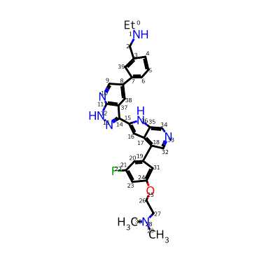 CCNCc1cccc(-c2cnc3[nH]nc(-c4cc5c(-c6cc(F)cc(OCCN(C)C)c6)cncc5[nH]4)c3c2)c1